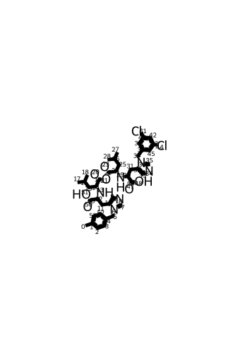 Cc1ccc(Cn2cncc2CC(NC(CC(C)C)C(=O)OC(=O)C(CC(C)C)NC(Cc2cncn2Cc2cc(Cl)cc(Cl)c2)C(=O)O)C(=O)O)cc1